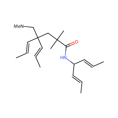 CC=CC(C=CC)NC(=O)C(C)(C)CC(C=CC)(C=CC)CNC